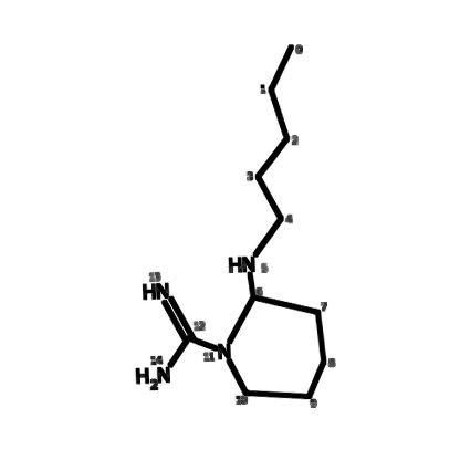 CCCCCNC1CCCCN1C(=N)N